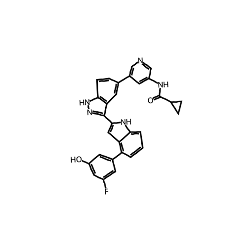 O=C(Nc1cncc(-c2ccc3[nH]nc(-c4cc5c(-c6cc(O)cc(F)c6)cccc5[nH]4)c3c2)c1)C1CC1